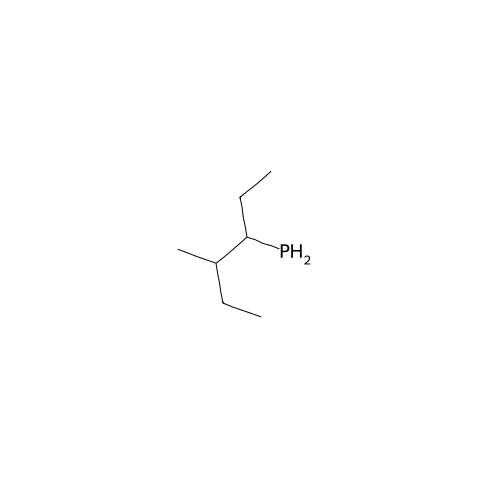 CCC(C)C(P)CC